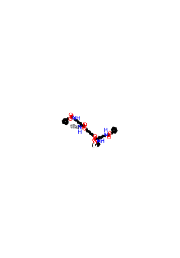 CCC(C)(C)C(=O)NC(CCCCNC(=O)OCc1ccccc1)C(=O)OCCCCCCOC(=O)C(CCCCNC(=O)OCc1ccccc1)NC(C)(C)C